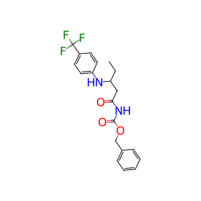 CCC(CC(=O)NC(=O)OCc1ccccc1)Nc1ccc(C(F)(F)F)cc1